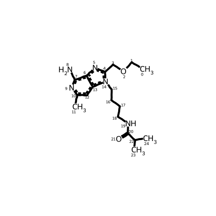 CCOCc1nc2c(N)nc(C)cc2n1CCCCNC(=O)C(C)C